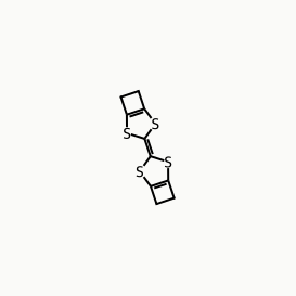 C1CC2=C1SC(=C1SC3=C(CC3)S1)S2